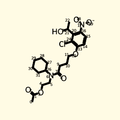 CC(=O)OCCN(C(=O)CCCOc1ccc([N+](=O)[O-])c(C(C)O)c1Cl)C1CCCCC1